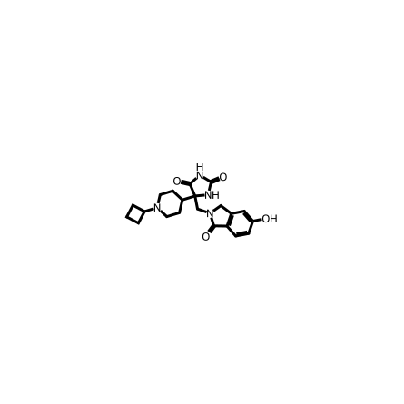 O=C1NC(=O)C(CN2Cc3cc(O)ccc3C2=O)(C2CCN(C3CCC3)CC2)N1